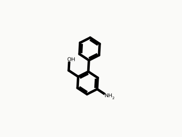 Nc1ccc(CO)c(-c2ccccc2)c1